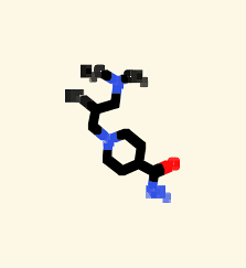 CN(C)CC(C#N)CN1CCC(C(N)=O)CC1